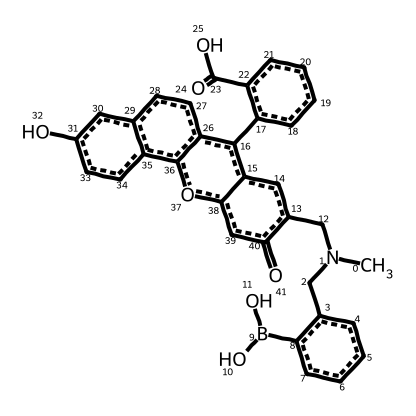 CN(Cc1ccccc1B(O)O)Cc1cc2c(-c3ccccc3C(=O)O)c3ccc4cc(O)ccc4c3oc-2cc1=O